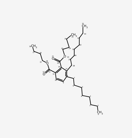 CCCCCCCCc1ccc(C(=O)OCCCC)c(C(=O)OCCCC)c1CCCCCCCC